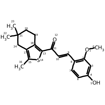 COc1cc(O)ccc1C=CC(=O)c1sc(C)c2c1CCC(C)(C)C2